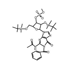 COS(=O)(=O)OC1C(CO[Si](C)(C)C(C)(C)C)OC(n2cnc3c(=O)n(C(=O)c4ccccc4)c(NC(C)=O)nc32)C1O[Si](C)(C)C(C)(C)C